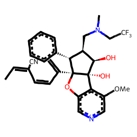 C=C(/C=C\C(C#N)=C/C)[C@@]12Oc3cncc(OC)c3[C@]1(O)[C@H](O)[C@H](CN(C)CC(F)(F)F)[C@H]2c1ccccc1